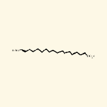 CCCCCC/C=C/CCCCCCCCCCCCCCCC(=O)O